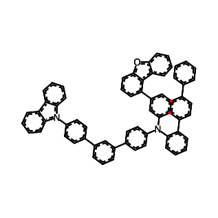 c1ccc(-c2ccc(-c3ccccc3N(c3ccc(-c4cccc(-c5ccc(-n6c7ccccc7c7ccccc76)cc5)c4)cc3)c3cccc(-c4cccc5oc6ccccc6c45)c3)cc2)cc1